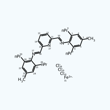 CCCc1cc(C)cc(CCC)c1N=Cc1cccc(C=Nc2c(CCC)cc(C)cc2CCC)n1.[Cl-].[Cl-].[Cl-].[Fe+3]